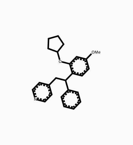 COc1ccc(C(Cc2ccncc2)c2ccccc2)c(OC2CCCC2)c1